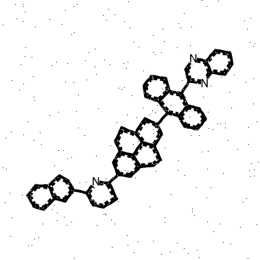 c1cc(-c2ccc3ccccc3c2)nc(-c2cc3ccc4cc(-c5c6ccccc6c(-c6cnc7ccccc7n6)c6ccccc56)cc5ccc(c2)c3c45)c1